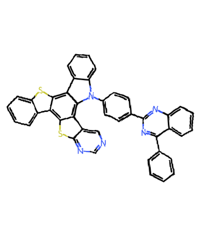 c1ccc(-c2nc(-c3ccc(-n4c5ccccc5c5c6sc7ccccc7c6c6sc7ncncc7c6c54)cc3)nc3ccccc23)cc1